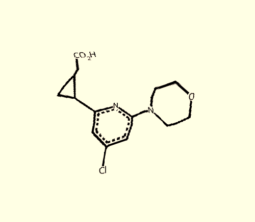 O=C(O)C1CC1c1cc(Cl)cc(N2CCOCC2)n1